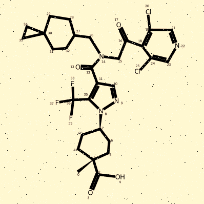 C[C@]1(C(=O)O)CC[C@H](n2ncc(C(=O)N(CC(=O)c3c(Cl)cncc3Cl)CC3CCC4(CC3)CC4)c2C(F)(F)F)CC1